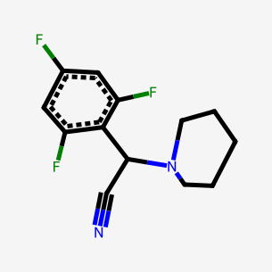 N#CC(c1c(F)cc(F)cc1F)N1CCCCC1